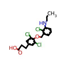 CCCNc1cccc(COc2c(Cl)cc(CCC(=O)O)cc2Cl)c1Cl